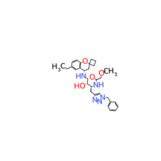 CCc1ccc2c(c1)[C@@H](NC[C@@H](O)[C@H](Cc1cn(Cc3ccccc3)nn1)NC(=O)COC)CC1(CCC1)O2